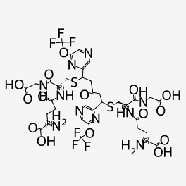 N[C@H](CCC(=O)N[C@@H](CSC(CC(=O)CC(SC[C@H](NC(=O)CC[C@H](N)C(=O)O)C(=O)NCC(=O)O)c1cncc(OC(F)(F)F)n1)c1cncc(OC(F)(F)F)n1)C(=O)NCC(=O)O)C(=O)O